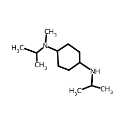 CC(C)NC1CCC(N(C)C(C)C)CC1